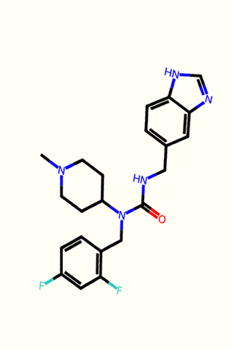 CN1CCC(N(Cc2ccc(F)cc2F)C(=O)NCc2ccc3[nH]cnc3c2)CC1